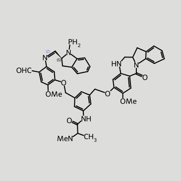 CNC(C)C(=O)Nc1cc(COc2cc(/N=C\[C@@H]3Cc4ccccc4N3P)c(C=O)cc2OC)cc(COc2cc3c(cc2OC)C(=O)N2c4ccccc4CC2CN3)c1